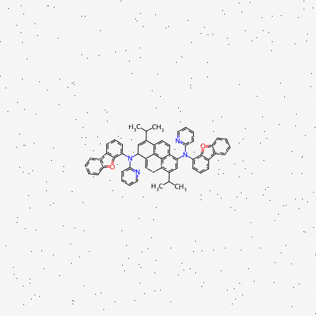 CC(C)C1=CC(N(c2ccccn2)c2cccc3c2oc2ccccc23)C2=CCc3c(C(C)C)cc(N(c4ccccn4)c4cccc5c4oc4ccccc45)c4ccc1c2c34